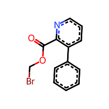 O=C(OCBr)c1ncccc1-c1ccccc1